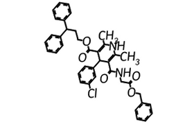 CC1=C(C(=O)NCC(=O)OCc2ccccc2)C(c2cccc(Cl)c2)C(C(=O)OCCC(c2ccccc2)c2ccccc2)=C(C)N1